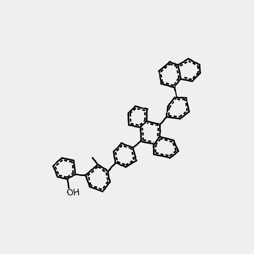 Cc1c(-c2ccc(-c3c4ccccc4c(-c4cccc(-c5cccc6ccccc56)c4)c4ccccc34)cc2)cccc1-c1ccccc1O